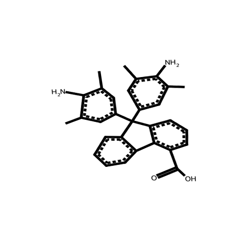 Cc1cc(C2(c3cc(C)c(N)c(C)c3)c3ccccc3-c3c(C(=O)O)cccc32)cc(C)c1N